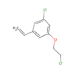 C=[C]c1cc(Cl)cc(OCCCl)c1